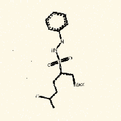 CCCCCCCCCCCC(CCC(C)Cl)S(=O)(=O)N[N]c1ccccc1